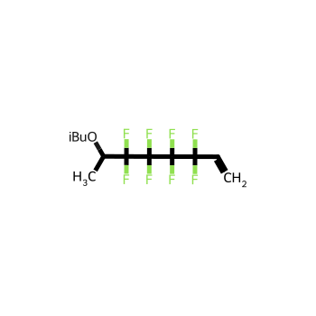 C=CC(F)(F)C(F)(F)C(F)(F)C(F)(F)C(C)OCC(C)C